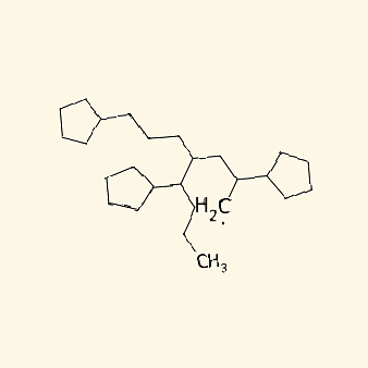 [CH2]C(CC(CCCC1CCCC1)C(CCC)C1CCCC1)C1CCCC1